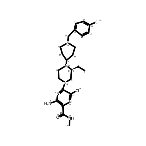 CC[C@H]1CN(c2nc(N)c(C(=O)NC)nc2Cl)CCN1C1CCN(Cc2ccc(Cl)cc2)CC1